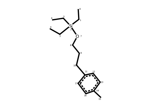 CC[Si](CC)(CC)OCCCc1ccc(C)cc1